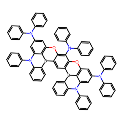 c1ccc(N(c2ccccc2)c2cc3c4c(c2)N(c2ccccc2)c2ccccc2B4c2cc4c(c(N(c5ccccc5)c5ccccc5)c2O3)Oc2cc(N(c3ccccc3)c3ccccc3)cc3c2B4c2ccccc2N3c2ccccc2)cc1